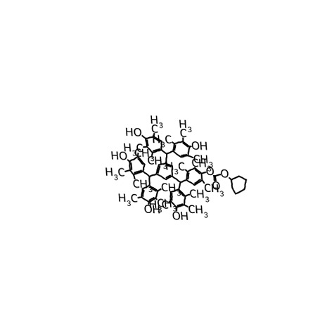 Cc1cc(C(c2cc(C(c3cc(C)c(O)c(C)c3C)c3cc(C)c(O)c(C)c3C)cc(C(c3cc(C)c(O)c(C)c3C)c3cc(C)c(OC(=O)OC4CCCCC4)c(C)c3C)c2)c2cc(C)c(O)c(C)c2C)c(C)c(C)c1O